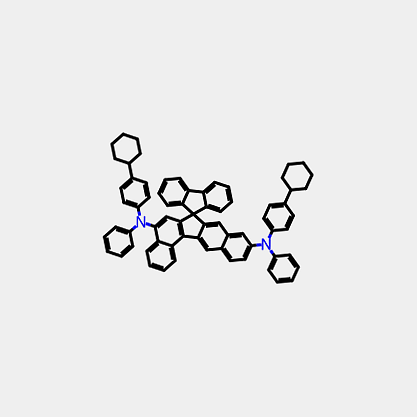 c1ccc(N(c2ccc(C3CCCCC3)cc2)c2ccc3cc4c(cc3c2)C2(c3ccccc3-c3ccccc32)c2cc(N(c3ccccc3)c3ccc(C5CCCCC5)cc3)c3ccccc3c2-4)cc1